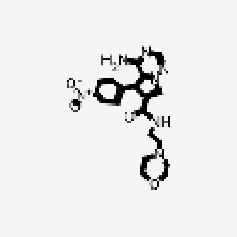 Nc1ncnn2cc(C(=O)NCCN3CCOCC3)c(-c3ccc([N+](=O)[O-])cc3)c12